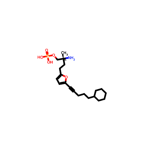 C[C@@](N)(CCc1ccc(C#CCCCC2CCCCC2)o1)COP(=O)(O)O